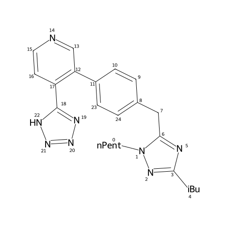 CCCCCn1nc(C(C)CC)nc1Cc1ccc(-c2cnccc2-c2nnn[nH]2)cc1